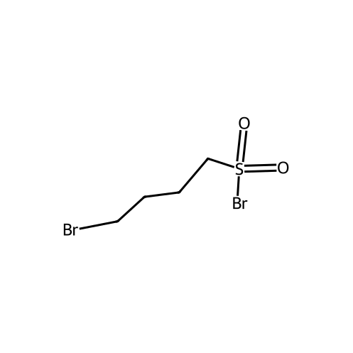 O=S(=O)(Br)CCCCBr